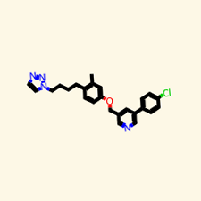 Cc1cc(OCc2cncc(-c3ccc(Cl)cc3)c2)ccc1CCCCn1ccnn1